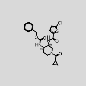 O=C(N[C@@H]1CCN(C(=O)C2CC2)C[C@@H]1NC(=O)c1ccc(Cl)s1)OCc1ccccc1